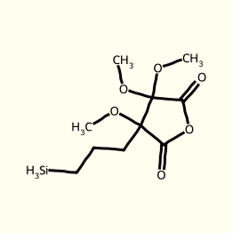 COC1(CCC[SiH3])C(=O)OC(=O)C1(OC)OC